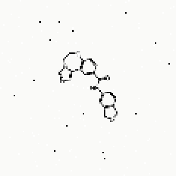 O=C(Nc1ccc2c(c1)COC2)c1ccc2c(c1)-c1cncn1CCO2